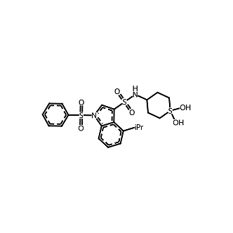 CC(C)c1cccc2c1c(S(=O)(=O)NC1CCS(O)(O)CC1)cn2S(=O)(=O)c1ccccc1